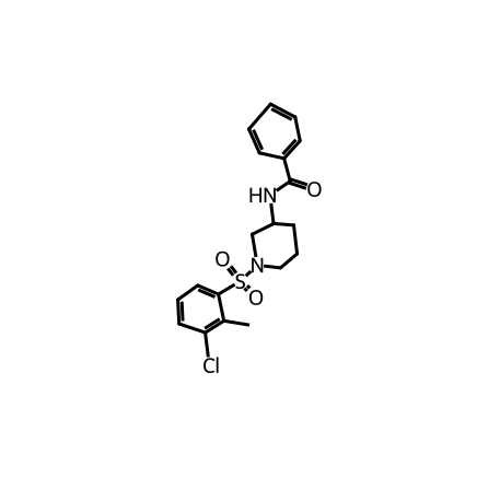 Cc1c(Cl)cccc1S(=O)(=O)N1CCCC(NC(=O)c2ccccc2)C1